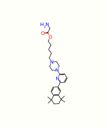 CC1(C)CCC(C)(C)c2cc(-c3cccc(N4CCN(CCCCCOC(=O)CN)CC4)n3)ccc21